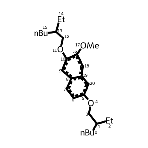 CCCCC(CC)COc1ccc2cc(OCC(CC)CCCC)c(OC)cc2c1